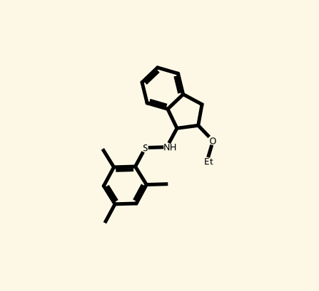 CCOC1Cc2ccccc2C1NSc1c(C)cc(C)cc1C